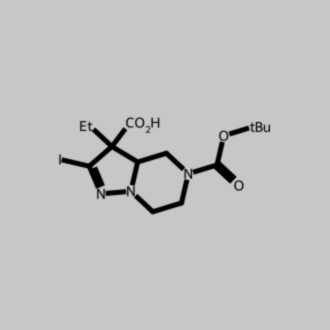 CCC1(C(=O)O)C(I)=NN2CCN(C(=O)OC(C)(C)C)CC21